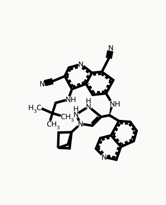 CC(C)(C)CNc1c(C#N)cnc2c(C#N)cc(N[C@H](C3=CN(C45CC(C4)C5)NN3)c3cccc4cnccc34)cc12